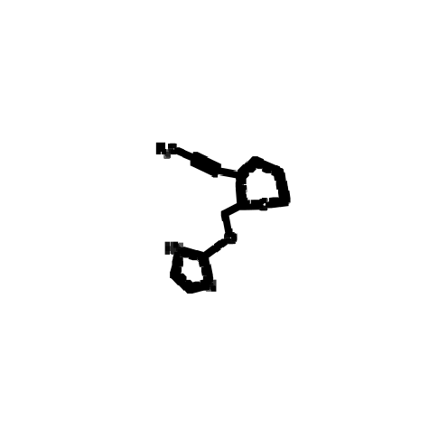 CC#Cc1ccccc1COc1ncc[nH]1